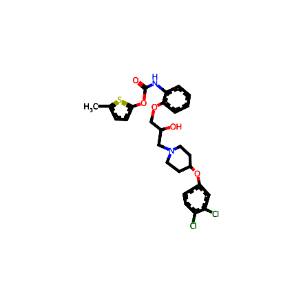 Cc1ccc(OC(=O)Nc2ccccc2OCC(O)CN2CCC(Oc3ccc(Cl)c(Cl)c3)CC2)s1